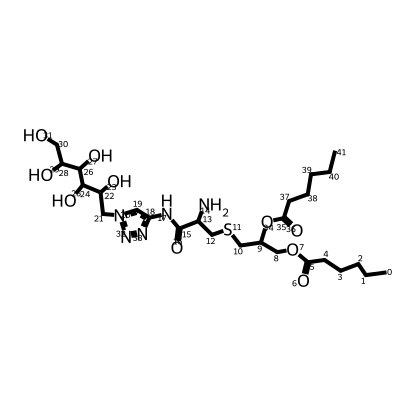 CCCCCC(=O)OCC(CSCC(N)C(=O)Nc1cn(CC(O)C(O)C(O)C(O)CO)nn1)OC(=O)CCCCC